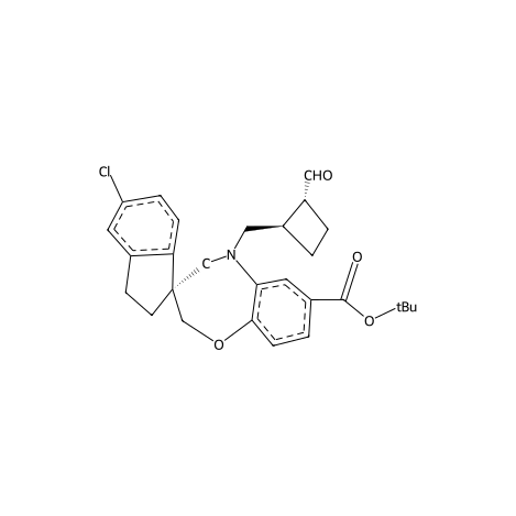 CC(C)(C)OC(=O)c1ccc2c(c1)N(C[C@@H]1CC[C@H]1C=O)C[C@@]1(CCc3cc(Cl)ccc31)CO2